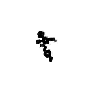 COc1ccc(CCNc2nc(N)nc(-c3ccco3)c2C#N)cc1